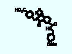 COc1ccc(CNC(=O)c2ccc3c(c2)c(=O)n(Cc2ccc(C(=O)O)cc2)c2nncn32)cc1